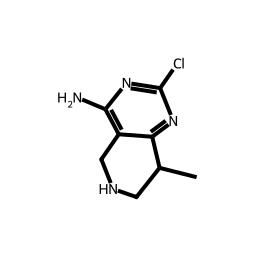 CC1CNCc2c(N)nc(Cl)nc21